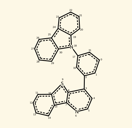 c1cc(-c2ccnc3c2sc2ccccc23)cc(-n2c3ccccc3c3ccccc32)c1